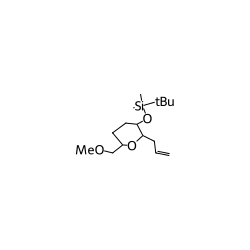 C=CCC1OC(COC)CCC1O[Si](C)(C)C(C)(C)C